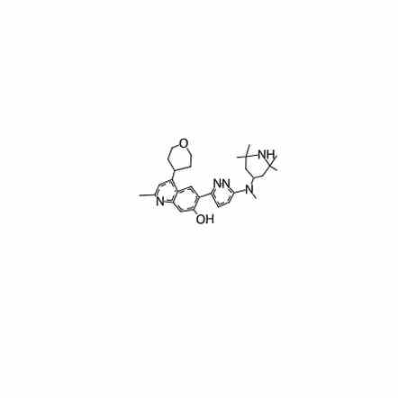 Cc1cc(C2CCOCC2)c2cc(-c3ccc(N(C)C4CC(C)(C)NC(C)(C)C4)nn3)c(O)cc2n1